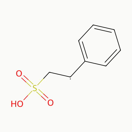 O=S(=O)(O)C[CH]c1ccccc1